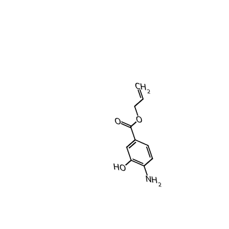 C=CCOC(=O)c1ccc(N)c(O)c1